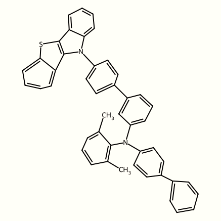 Cc1cccc(C)c1N(c1ccc(-c2ccccc2)cc1)c1cccc(-c2ccc(-n3c4ccccc4c4sc5ccccc5c43)cc2)c1